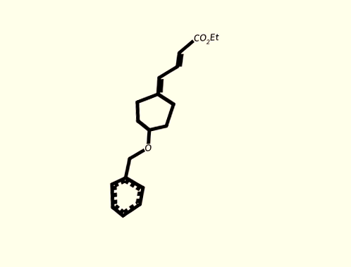 CCOC(=O)C=CC=C1CCC(OCc2ccccc2)CC1